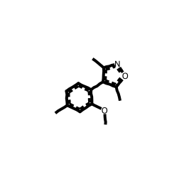 COc1cc(C)ccc1-c1c(C)noc1C